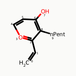 C=Cc1[o+]ccc(O)c1CCCCC